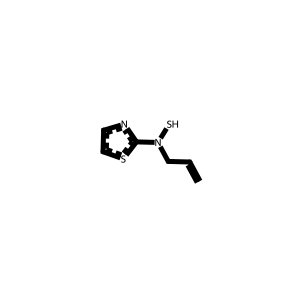 C=CCN(S)c1nccs1